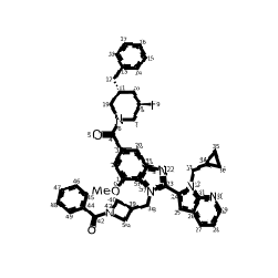 COc1cc(C(=O)N2C[C@H](F)C[C@@H](Cc3ccccc3)C2)cc2nc(-c3cc4cccnc4n3CC3CC3)n(CC3CN(C(=O)c4ccccc4)C3)c12